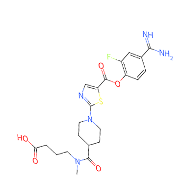 CN(CCCC(=O)O)C(=O)C1CCN(c2ncc(C(=O)Oc3ccc(C(=N)N)cc3F)s2)CC1